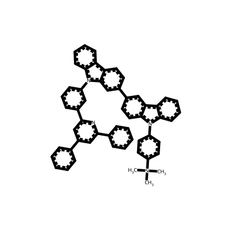 C[Si](C)(C)c1ccc(-n2c3ccccc3c3cc(-c4ccc5c6ccccc6n(-c6cccc(-c7cc(-c8ccccc8)cc(-c8ccccc8)n7)c6)c5c4)ccc32)cc1